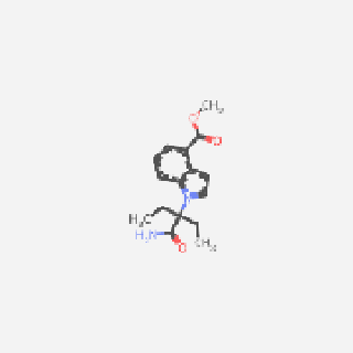 CCC(CC)(C(N)=O)n1ccc2c(C(=O)OC)cccc21